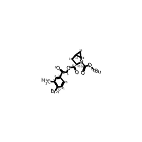 Cc1cc(C(=O)COC(=O)[C@@H]2CC3CC3N2C(=O)OC(C)(C)C)ccc1Br